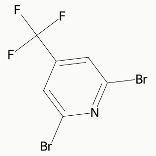 FC(F)(F)c1cc(Br)nc(Br)c1